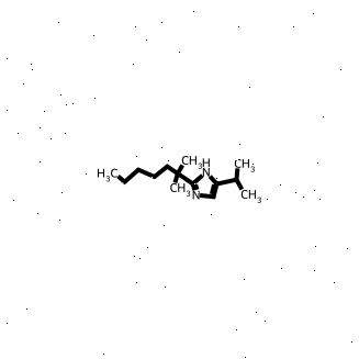 CCCCCC(C)(C)c1ncc(C(C)C)[nH]1